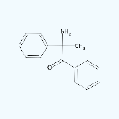 CC(N)(C(=O)c1ccccc1)c1ccccc1